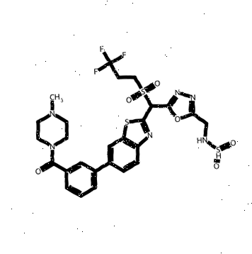 CN1CCN(C(=O)c2cccc(-c3ccc4nc(C(c5nnc(CN[SH](=O)=O)o5)S(=O)(=O)CCC(F)(F)F)sc4c3)c2)CC1